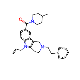 C=CCn1c2c(c3cc(C(=O)N4CCC(C)CC4)ccc31)CN(CCc1ccccc1)CC2